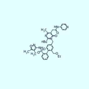 CCCCc1nc(C)c(CC(=O)Nc2ccncc2)c(=O)n1Cc1ccc(-c2ccccc2S(=O)(=O)Nc2noc(C)c2C)c(COCC)c1